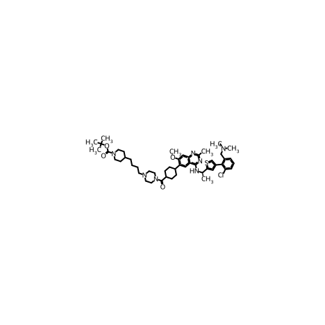 COc1cc2nc(C)nc(N[C@H](C)c3cc(-c4c(Cl)cccc4CN(C)C)cs3)c2cc1C1CCC(C(=O)N2CCN(CCCCC3CCN(C(=O)OC(C)(C)C)CC3)CC2)CC1